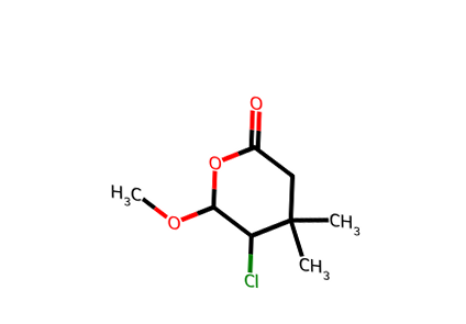 COC1OC(=O)CC(C)(C)C1Cl